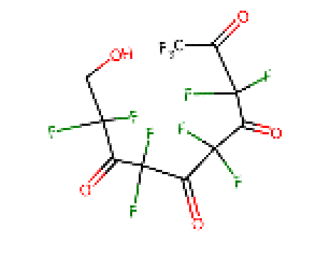 O=C(C(F)(F)F)C(F)(F)C(=O)C(F)(F)C(=O)C(F)(F)C(=O)C(F)(F)CO